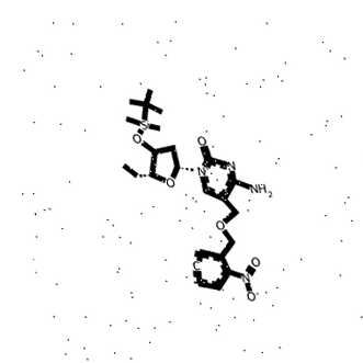 CC[C@H]1O[C@@H](n2cc(COCc3ccccc3[N+](=O)[O-])c(N)nc2=O)CC1O[Si](C)(C)C(C)(C)C